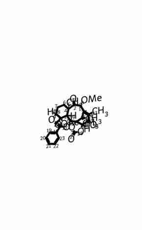 CO[C@H]1C(=O)[C@]2(C)CC[C@H]3OC[C@@]3(OC(C)=O)[C@H]2[C@H](OC(=O)c2ccccc2)[C@]23OC(=O)O[C@H]2C(=O)C(C)=C1C3(C)C